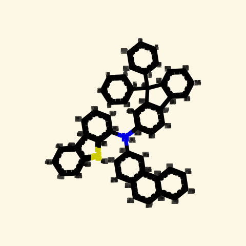 c1ccc(C2(c3ccccc3)c3ccccc3-c3ccc(N(c4ccc5ccc6ccccc6c5c4)c4cccc5c4sc4ccccc45)cc32)cc1